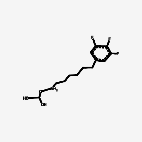 OC(O)O[SiH2]CCCCCCc1cc(F)c(F)c(F)c1